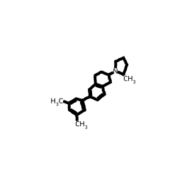 Cc1cc(C)cc(-c2ccc3c(c2)CCC(N2CCCC2C)C3)c1